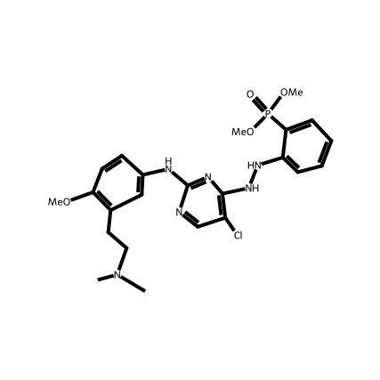 COc1ccc(Nc2ncc(Cl)c(NNc3ccccc3P(=O)(OC)OC)n2)cc1CCN(C)C